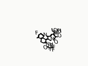 CC[Si@@]1(O)C(=O)OCc2c1cc1n(c2=O)Cc2c-1nc1cc(F)c(C)c3c1c2[C@@H](NC(=O)[C@H](C)C(F)(F)F)CC3